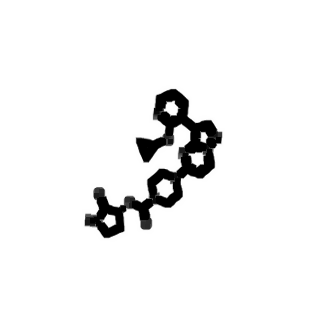 O=C1NCC[C@H]1OC(=O)N1CCN(c2ccn3ncc(-c4cccnc4OC4CC4)c3n2)CC1